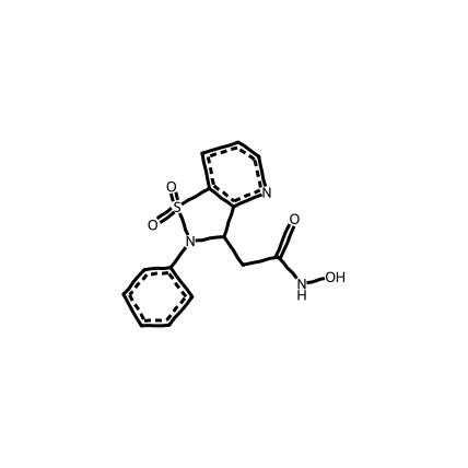 O=C(CC1c2ncccc2S(=O)(=O)N1c1ccccc1)NO